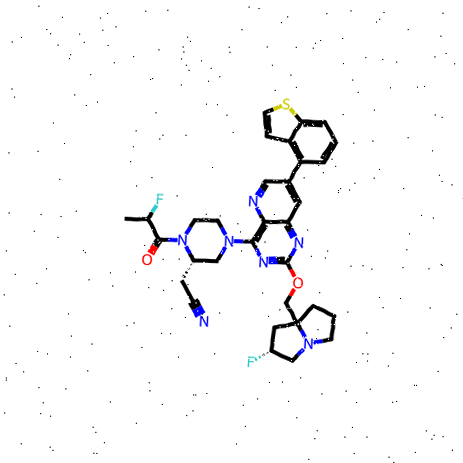 CC(F)C(=O)N1CCN(c2nc(OCC34CCCN3C[C@H](F)C4)nc3cc(-c4cccc5sccc45)cnc23)C[C@@H]1CC#N